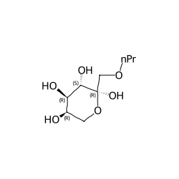 CCCOC[C@@]1(O)OC[C@@H](O)[C@@H](O)[C@@H]1O